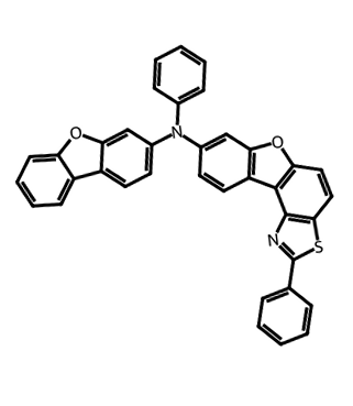 c1ccc(-c2nc3c(ccc4oc5cc(N(c6ccccc6)c6ccc7c(c6)oc6ccccc67)ccc5c43)s2)cc1